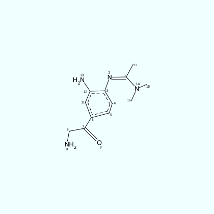 CC(=Nc1ccc(C(=O)CN)cc1N)N(C)C